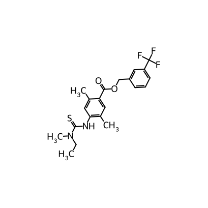 CCN(C)C(=S)Nc1cc(C)c(C(=O)OCc2cccc(C(F)(F)F)c2)cc1C